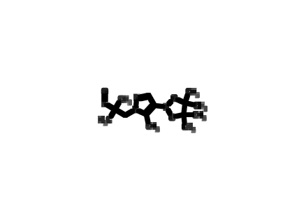 Cc1c(B2OC(C)(C)C(C)(C)O2)cnn1CC(C)(C)N=O